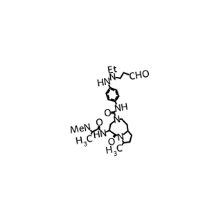 CCN(CCC=O)Nc1ccc(NC(=O)N2CCC3CCC(C)N3C(=O)C(NC(=O)C(C)NC)C2)cc1